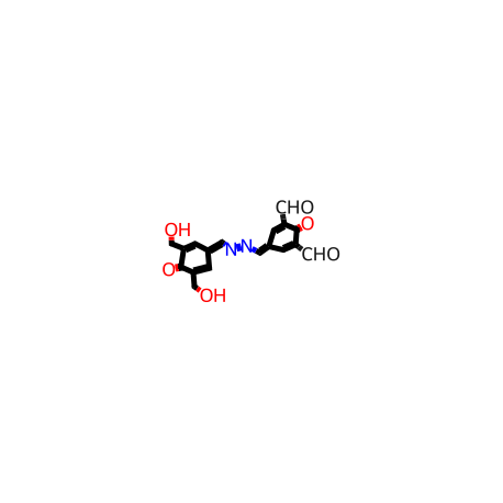 O=CC1=CC(=CN=NC=C2C=C(CO)C(=O)C(CO)=C2)C=C(C=O)C1=O